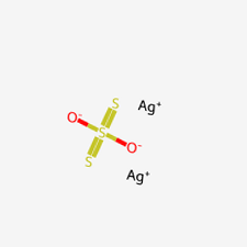 [Ag+].[Ag+].[O-]S([O-])(=S)=S